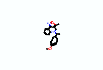 COc1ccc(C(C)NCc2c(-c3ccccc3)noc2C)cc1